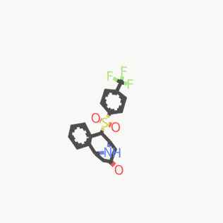 O=C1CC2NC(C1)C(S(=O)(=O)c1ccc(C(F)(F)F)cc1)c1ccccc12